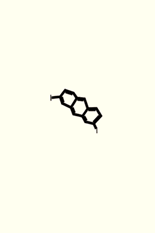 Ic1ccc2cc3ccc(I)cc3cc2c1